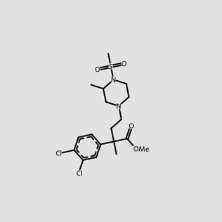 COC(=O)C(C)(CCN1CCN(S(C)(=O)=O)C(C)C1)c1ccc(Cl)c(Cl)c1